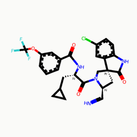 N=C[C@@H]1C[C@@]2(CN1C(=O)[C@H](CC1CC1)NC(=O)c1cccc(OC(F)(F)F)c1)C(=O)Nc1ccc(Cl)cc12